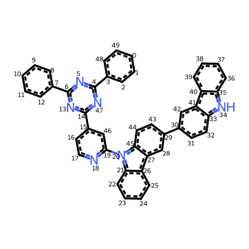 c1ccc(-c2nc(-c3ccccc3)nc(-c3ccnc(-n4c5ccccc5c5cc(-c6ccc7[nH]c8ccccc8c7c6)ccc54)c3)n2)cc1